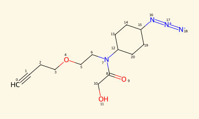 C#CCCOCCN(C(=O)CO)C1CCC(N=[N+]=[N-])CC1